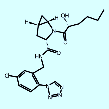 CCCC[C@@H](O)C(=O)N1[C@H](C(=O)NCc2cc(Cl)ccc2-n2cnnn2)C[C@@H]2C[C@@H]21